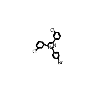 Clc1cccc(-c2cc(-c3cccc(Cl)c3)nc(-c3ccc(Br)cc3)n2)c1